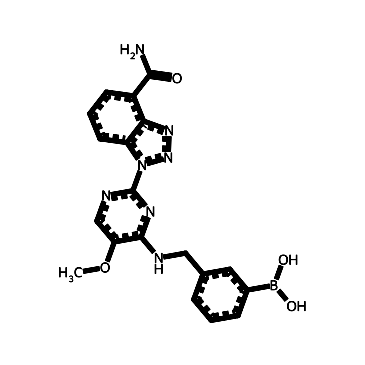 COc1cnc(-n2nnc3c(C(N)=O)cccc32)nc1NCc1cccc(B(O)O)c1